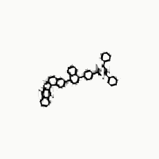 c1ccc(-c2nc(-c3ccccc3)nc(-c3ccc(-c4ccc(-c5ccc6c(ccc7oc8nc9ccccc9nc8c76)c5)c5ccccc45)cc3)n2)cc1